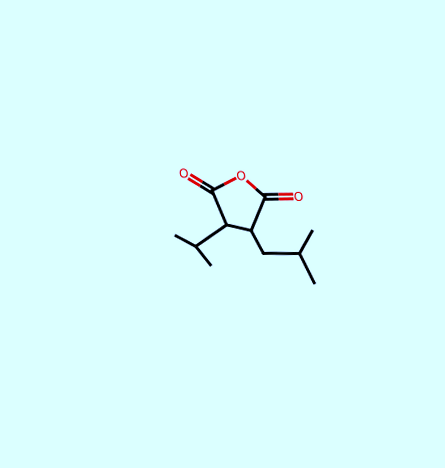 CC(C)CC1C(=O)OC(=O)C1C(C)C